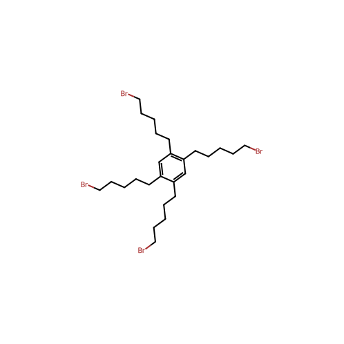 BrCCCCCc1cc(CCCCCBr)c(CCCCCBr)cc1CCCCCBr